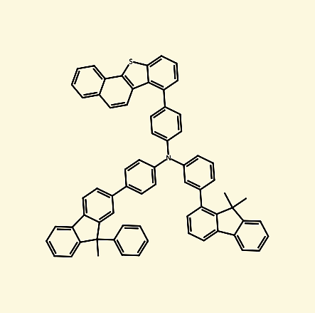 CC1(C)c2ccccc2-c2cccc(-c3cccc(N(c4ccc(-c5ccc6c(c5)C(C)(c5ccccc5)c5ccccc5-6)cc4)c4ccc(-c5cccc6sc7c8ccccc8ccc7c56)cc4)c3)c21